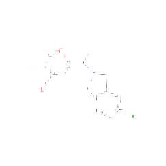 Cc1coc(C(C)N2Cc3ccc(Br)cc3C2)cc1=O